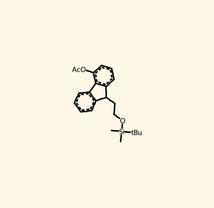 CC(=O)Oc1cccc2c1-c1ccccc1C2CCO[Si](C)(C)C(C)(C)C